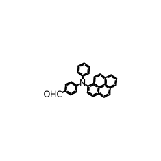 O=Cc1ccc(N(c2ccccc2)c2ccc3ccc4cccc5ccc2c3c45)cc1